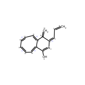 C=C/C=c1/nc(O)c2/c(c1=C)=C\C=C/C=C\C=2